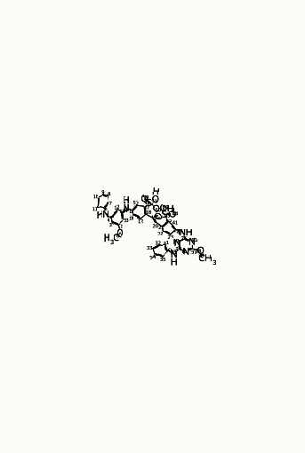 COc1cc(Nc2ccccc2)cc(Nc2ccc(C=Cc3ccc(Nc4nc(Nc5ccccc5)nc(OC)n4)cc3S(=O)(=O)O)c(S(=O)(=O)O)c2)c1